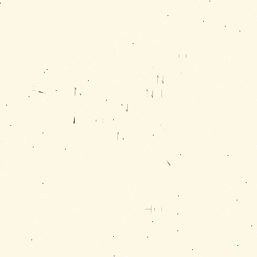 C#Cc1c(F)ccc2cc(O)cc([C@@H]3COc4c(nc(OC[C@]5(C)C[C@@H](F)CN5C)nc4NCC4(N(C)C(=O)C=C)CCCC4)C3)c12